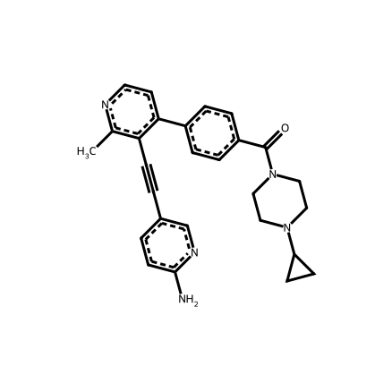 Cc1nccc(-c2ccc(C(=O)N3CCN(C4CC4)CC3)cc2)c1C#Cc1ccc(N)nc1